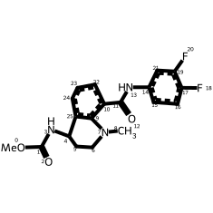 COC(=O)NC1CCN(C)c2c(C(=O)Nc3ccc(F)c(F)c3)cccc21